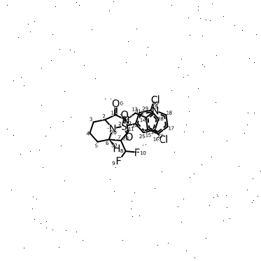 O=C1C2CCC[C@@H](C(C(F)F)CN1Cc1ccccn1)N2S(=O)(=O)c1cc(Cl)cc(Cl)c1